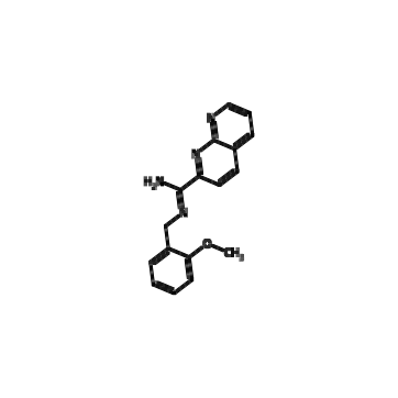 COc1ccccc1CN=C(N)c1ccc2cccnc2n1